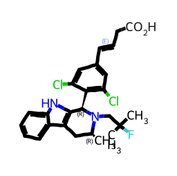 C[C@@H]1Cc2c([nH]c3ccccc23)[C@@H](c2c(Cl)cc(/C=C/CC(=O)O)cc2Cl)N1CC(C)(C)F